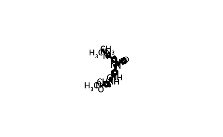 CN(C)C(=O)c1ccc(NC(=O)Nc2ccc(-c3nc(N4CCOCC4)c4ccc(-c5cnc(N(C)C)nc5)cc4n3)cc2)cc1